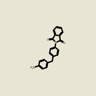 Nc1ccc(Cc2ccc(N3C(=O)c4ccccc4C3=O)cc2)cc1